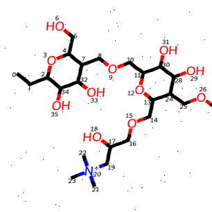 CCC1OC(CO)C(COCC2OC(COCC(O)C[N+](C)(C)C)C(COC)C(O)C2O)C(O)C1O